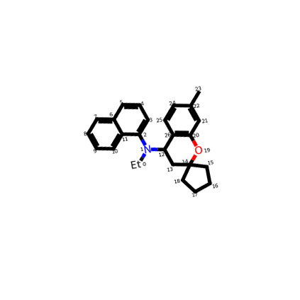 CCN(c1cccc2ccccc12)C1CC2(CCCC2)Oc2cc(C)ccc21